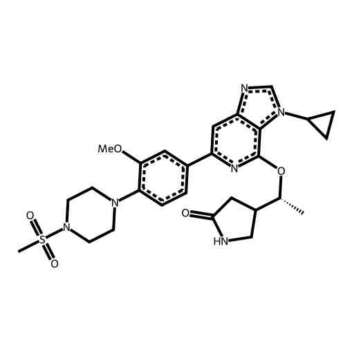 COc1cc(-c2cc3ncn(C4CC4)c3c(O[C@H](C)C3CNC(=O)C3)n2)ccc1N1CCN(S(C)(=O)=O)CC1